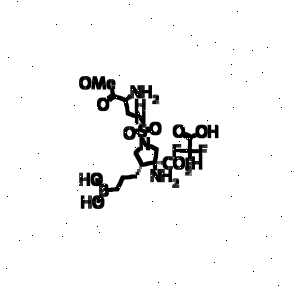 COC(=O)[C@@H](N)CNS(=O)(=O)N1C[C@@H](CCCB(O)O)[C@@](N)(C(=O)O)C1.O=C(O)C(F)(F)F